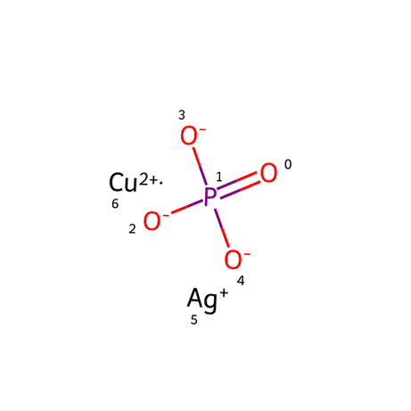 O=P([O-])([O-])[O-].[Ag+].[Cu+2]